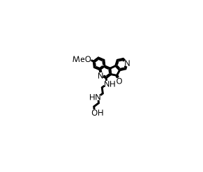 COc1ccc2c3c(c(NCCNCCO)nc2c1)C(=O)c1cnccc1-3